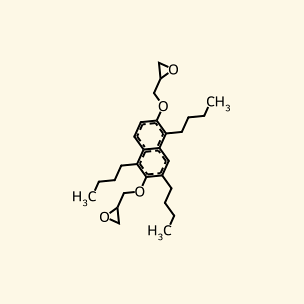 CCCCc1cc2c(CCCC)c(OCC3CO3)ccc2c(CCCC)c1OCC1CO1